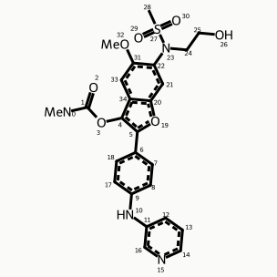 CNC(=O)Oc1c(-c2ccc(Nc3cccnc3)cc2)oc2cc(N(CCO)S(C)(=O)=O)c(OC)cc12